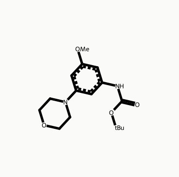 COc1cc(NC(=O)OC(C)(C)C)cc(N2CCOCC2)c1